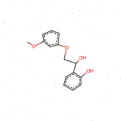 COc1cccc(OCC(O)c2ccccc2O)c1